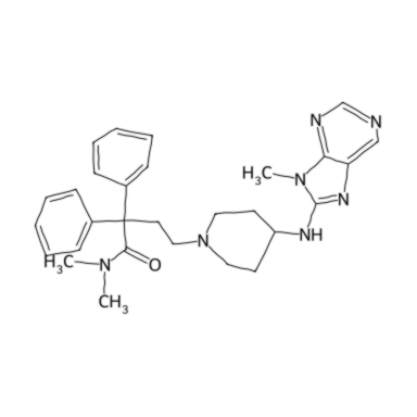 CN(C)C(=O)C(CCN1CCC(Nc2nc3cncnc3n2C)CC1)(c1ccccc1)c1ccccc1